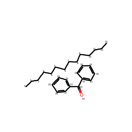 CCCCCCCCCCCCCC.O=C(c1ccccc1)c1ccccc1